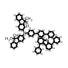 CC1(C)c2ccccc2-c2ccc(N(c3ccc(-c4ccc(-c5ccccc5-n5c6cccc(-c7ccccc7)c6c6cccc(-c7ccccc7)c65)cc4)cc3)c3ccc4c(c3)C(C)(C)c3ccccc3-4)cc21